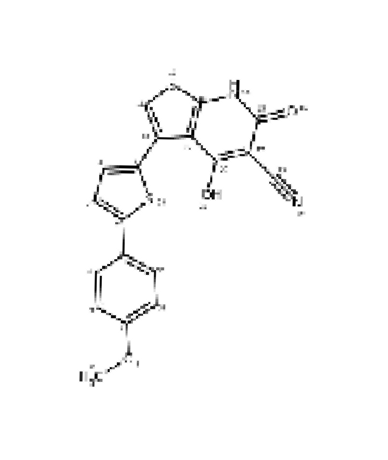 COc1ccc(-c2ccc(-c3csc4[nH]c(=O)c(C#N)c(O)c34)s2)cc1